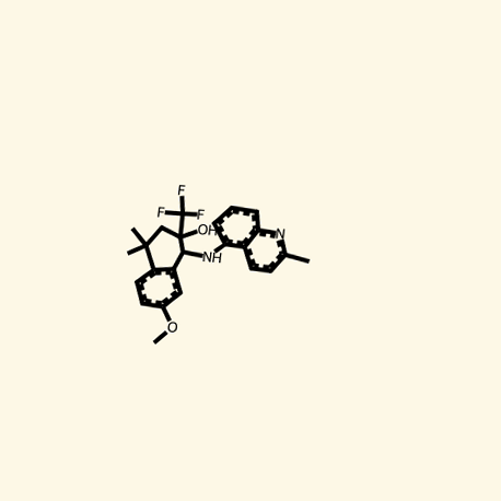 COc1ccc2c(c1)C(Nc1cccc3nc(C)ccc13)C(O)(C(F)(F)F)CC2(C)C